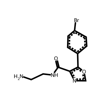 NCCNC(=O)c1ncoc1-c1ccc(Br)cc1